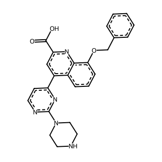 O=C(O)c1cc(-c2ccnc(N3CCNCC3)n2)c2cccc(OCc3ccccc3)c2n1